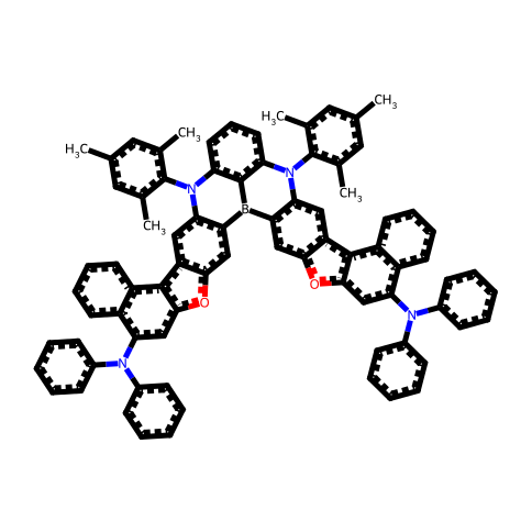 Cc1cc(C)c(N2c3cc4c(cc3B3c5cc6oc7cc(N(c8ccccc8)c8ccccc8)c8ccccc8c7c6cc5N(c5c(C)cc(C)cc5C)c5cccc2c53)oc2cc(N(c3ccccc3)c3ccccc3)c3ccccc3c24)c(C)c1